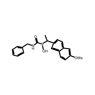 COc1ccc2cc(C(C)N(O)C(=O)NCc3ccccc3)ccc2c1